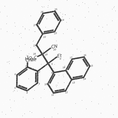 CCC(c1ccccc1OC)(c1cccc2ccccc12)C(C#N)(Cc1ccccc1)C(=O)O